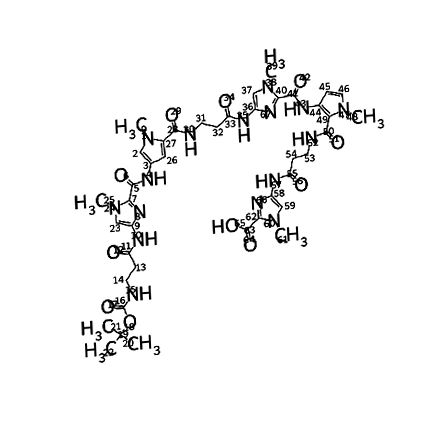 Cn1cc(NC(=O)c2nc(NC(=O)CCNC(=O)OC(C)(C)C)cn2C)cc1C(=O)NCCC(=O)Nc1cn(C)c(C(=O)Nc2ccn(C)c2C(=O)NCCC(=O)Nc2cn(C)c(C(=O)O)n2)n1